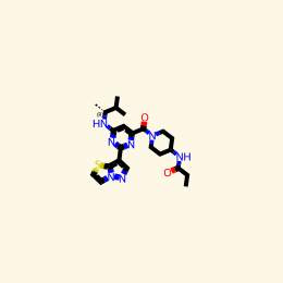 CCC(=O)NC1CCN(C(=O)c2cc(N[C@H](C)C(C)C)nc(-c3cnn4ccsc34)n2)CC1